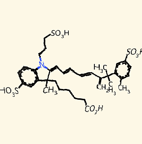 C=C(/C=C/C=C/C=C1/N(CCCS(=O)(=O)O)c2ccc(S(=O)(=O)O)cc2C1(C)CCCCCC(=O)O)C(C)(C)c1cc(S(=O)(=O)O)ccc1C